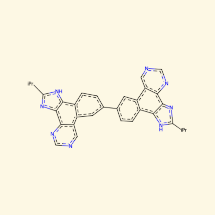 CC(C)c1nc2c3ncncc3c3cc(-c4ccc5c(c4)c4cncnc4c4nc(C(C)C)[nH]c54)ccc3c2[nH]1